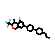 CCCC1CCC(C2CCC(c3cc(F)c4c(c3)COC(C(F)(F)F)C4C)CC2)CC1